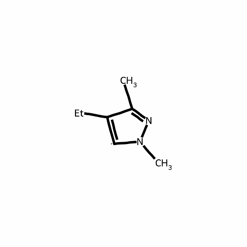 CCc1[c]n(C)nc1C